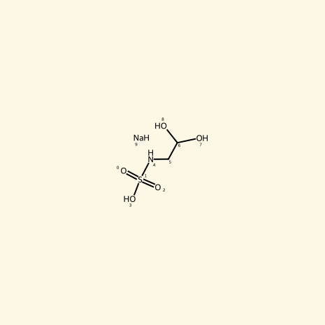 O=S(=O)(O)NCC(O)O.[NaH]